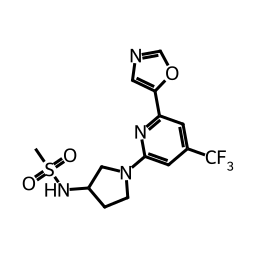 CS(=O)(=O)NC1CCN(c2cc(C(F)(F)F)cc(-c3cnco3)n2)C1